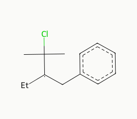 CC[C](Cc1ccccc1)C(C)(C)Cl